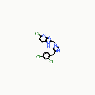 Clc1ccc(Cc2cn(Cc3nc4nc(Cl)ccc4[nH]3)cn2)c(Cl)c1